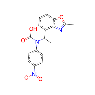 Cc1nc2c(C(C)N(C(=O)O)c3ccc([N+](=O)[O-])cc3)cccc2o1